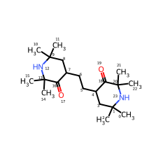 CC1(C)CC(CCC2CC(C)(C)NC(C)(C)C2=O)C(=O)C(C)(C)N1